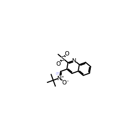 CC(C)(C)/[N+]([O-])=C/c1cc2ccccc2nc1S(C)(=O)=O